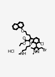 CCOC(=O)c1c(CCCOc2cccc3ccccc23)c2ccc(Cl)c(-c3c(CBr)nn(C)c3C)c2n1CCCCNC.Cl